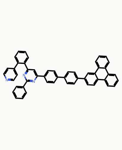 c1ccc(-c2nc(-c3ccc(-c4ccc(-c5ccc6c7ccccc7c7ccccc7c6c5)cc4)cc3)cc(-c3ccccc3-c3ccncc3)n2)cc1